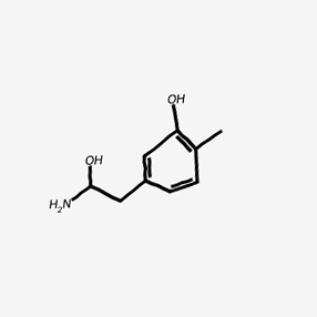 Cc1ccc(CC(N)O)cc1O